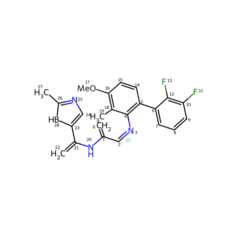 C=C(/C=N\c1c(-c2cccc(F)c2F)ccc(OC)c1C)NC(=C)C1=CN=C(C)B1